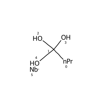 CCCC(O)(O)O.[Nb]